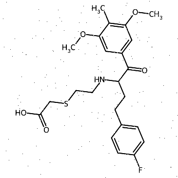 COc1cc(C(=O)C(CCc2ccc(F)cc2)NCCSCC(=O)O)cc(OC)c1C